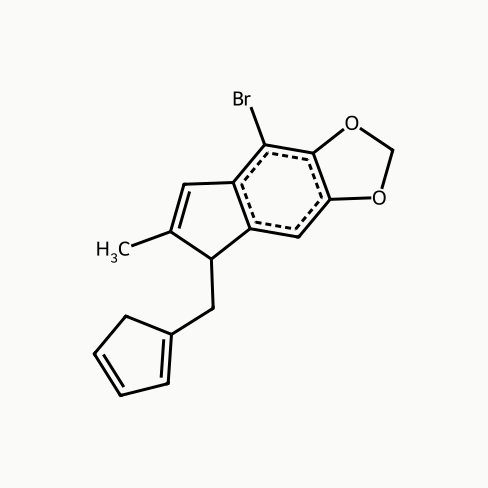 CC1=Cc2c(cc3c(c2Br)OCO3)C1CC1=CC=CC1